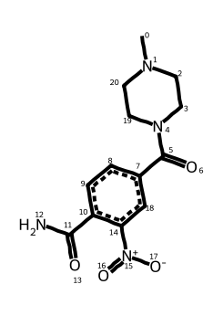 CN1CCN(C(=O)c2ccc(C(N)=O)c([N+](=O)[O-])c2)CC1